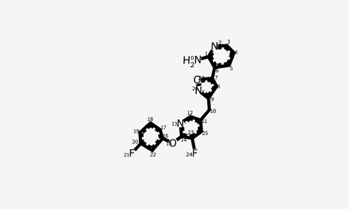 Nc1ncccc1-c1cc(Cc2cnc(Oc3cccc(F)c3)c(F)c2)no1